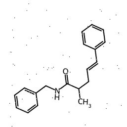 CC(C/C=C/c1ccccc1)C(=O)NCc1ccccc1